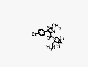 CCc1ccc(-c2sc(C)nc2C(=O)N2C[C@@H]3C[C@@H]3[C@H]2CN)cc1